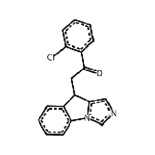 O=C(CC1c2ccccc2-n2cncc21)c1ccccc1Cl